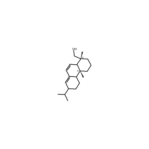 CC(C)C1C=C2C=CC3[C@](C)(CO)CCC[C@]3(C)C2CC1